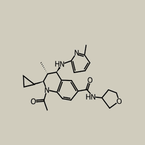 CC(=O)N1c2ccc(C(=O)NC3CCOC3)cc2[C@H](Nc2cccc(C)n2)[C@@H](C)[C@@H]1C1CC1